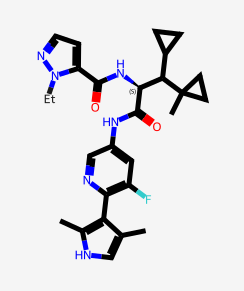 CCn1nccc1C(=O)N[C@H](C(=O)Nc1cnc(-c2c(C)c[nH]c2C)c(F)c1)C(C1CC1)C1(C)CC1